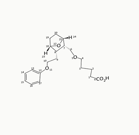 O=C(O)CCCCOC[C@@H]1[C@H](CCOc2ccccc2)[C@@H]2CC[C@H]1O2